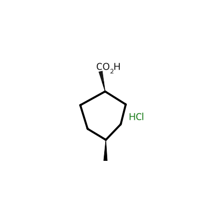 C[C@H]1CC[C@@H](C(=O)O)CC1.Cl